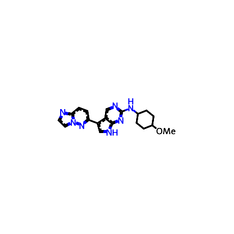 COC1CCC(Nc2ncc3c(-c4ccc5nccn5n4)c[nH]c3n2)CC1